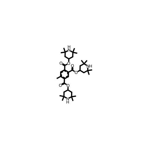 Cc1cc(C(=O)OC2CC(C)(C)NC(C)(C)C2)c(C(=O)OC2CC(C)(C)NC(C)(C)C2)cc1C(=O)OC1CC(C)(C)NC(C)(C)C1